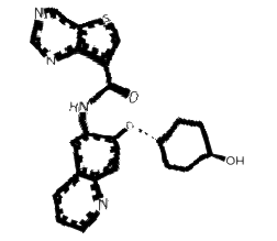 O=C(Nc1cc2cccnc2cc1O[C@H]1CC[C@H](O)CC1)c1csc2cncnc12